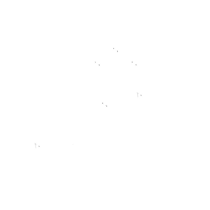 c1c[nH]nn1.c1cnsc1.c1cocn1.c1cscn1